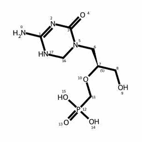 NC1=NC(=O)N(C[C@@H](CO)OCP(=O)(O)O)CN1